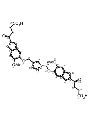 COc1cc2sc(C(=O)CCC(=O)O)cc2cc1OCc1cn(COc2cc3cc(C(=O)CCC(=O)O)sc3cc2OC)nn1